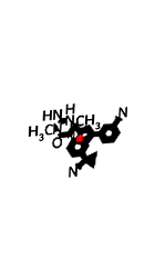 CN1C(=N)N[C@](C)(c2cc(-c3cccc(C#N)c3)cs2)[C@H](c2ccc(C3(C#N)CC3)cc2)C1=O